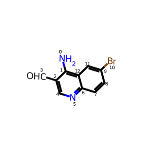 Nc1c(C=O)cnc2ccc(Br)cc12